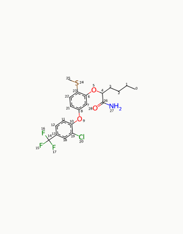 CCCCC(Oc1cc(Oc2ccc(C(F)(F)F)cc2Cl)ccc1SC)C(N)=O